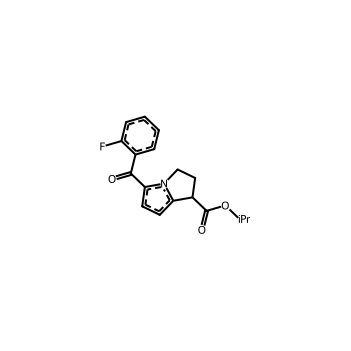 CC(C)OC(=O)C1CCn2c(C(=O)c3ccccc3F)ccc21